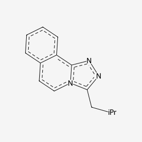 CC(C)Cc1nnc2c3ccccc3ccn12